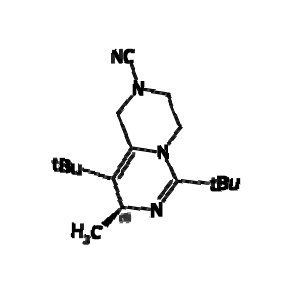 C[C@@H]1N=C(C(C)(C)C)N2CCN(C#N)CC2=C1C(C)(C)C